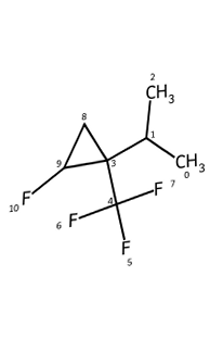 CC(C)C1(C(F)(F)F)CC1F